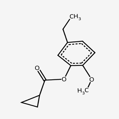 CCc1ccc(OC)c(OC(=O)C2CC2)c1